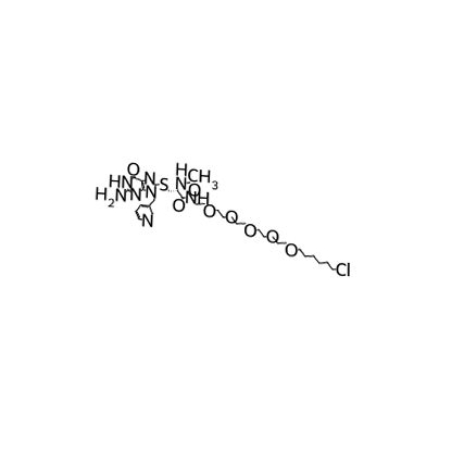 CC(=O)N[C@@H](CSc1nc2c(=O)[nH]c(N)nc2n1Cc1cccnc1)C(=O)NCCOCCOCCOCCOCCOCCCCCCCl